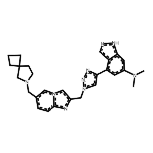 CN(C)c1cc(-c2cn(Cc3cn4cc(CN5CCC6(CCC6)C5)ccc4n3)nn2)c2cn[nH]c2c1